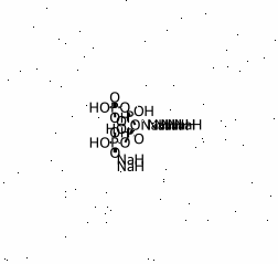 O=P(O)(O)OP(=O)(O)OP(=O)(O)OP(=O)(O)O.[NaH].[NaH].[NaH].[NaH].[NaH].[NaH].[NaH].[NaH]